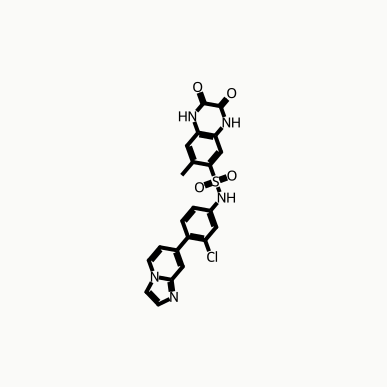 Cc1cc2[nH]c(=O)c(=O)[nH]c2cc1S(=O)(=O)Nc1ccc(-c2ccn3ccnc3c2)c(Cl)c1